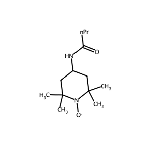 CCCC(=O)NC1CC(C)(C)N([O])C(C)(C)C1